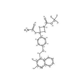 Cc1nc2ccccc2c(COc2ccc(C3(CC(N)=O)CN(C(=O)OC(C)(C)C)C3)cc2)c1C